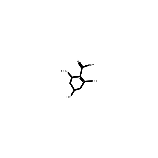 CCCC(=O)C1=C(O)CC(O)CC1C=O